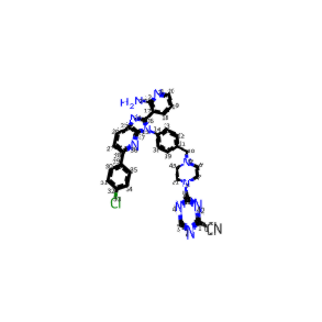 N#Cc1ncnc(N2CCN(Cc3ccc(-n4c(-c5cccnc5N)nc5ccc(-c6ccc(Cl)cc6)nc54)cc3)CC2)n1